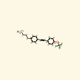 CCCCc1ccc(C#Cc2ccc(OC(F)(F)F)cc2)cc1